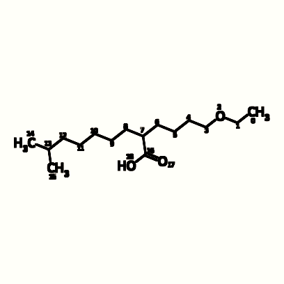 CCOCCCCC(CCCCCC(C)C)C(=O)O